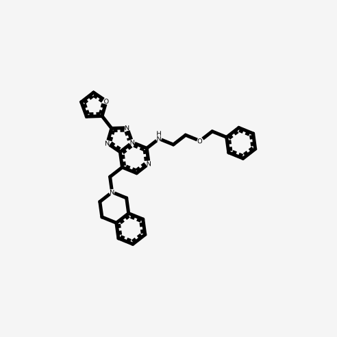 c1ccc(COCCNc2ncc(CN3CCc4ccccc4C3)c3nc(-c4ccco4)nn23)cc1